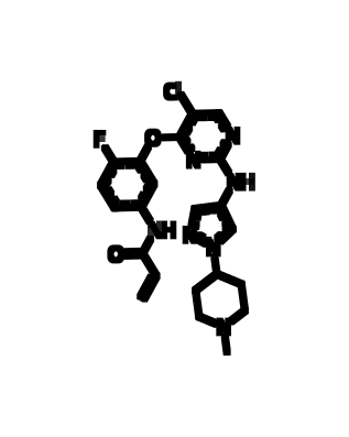 C=CC(=O)Nc1ccc(F)c(Oc2nc(Nc3cnn(C4CCN(C)CC4)c3)ncc2Cl)c1